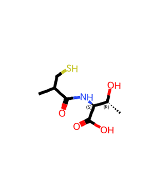 CC(CS)C(=O)N[C@H](C(=O)O)[C@@H](C)O